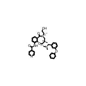 C[C@@H]1CN([C@@H](C)CO)C(=O)c2cccc(NC(=O)c3ccncc3)c2O[C@H]1CN(C)Cc1cccc(Oc2ccccc2)c1